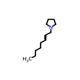 CCCCCC=CCN1CCCC1